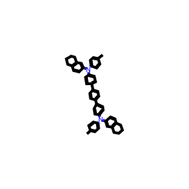 Cc1ccc(N(c2ccc(-c3ccc(-c4ccc(N(c5ccc(C)cc5)c5ccc6c(c5)CCCC6)cc4)cc3)cc2)c2ccc3c(c2)CCCC3)cc1